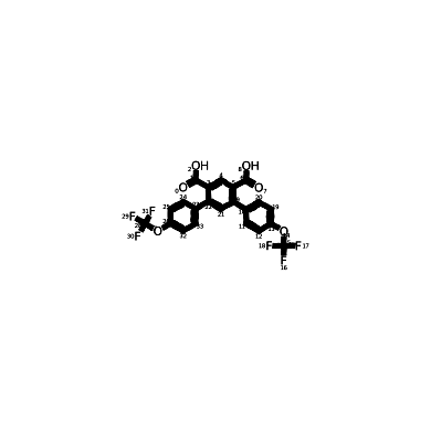 O=C(O)c1cc(C(=O)O)c(-c2ccc(OC(F)(F)F)cc2)cc1-c1ccc(OC(F)(F)F)cc1